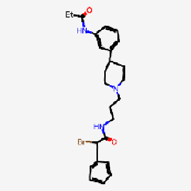 CCC(=O)Nc1cccc(C2CCN(CCCNC(=O)C(Br)c3ccccc3)CC2)c1